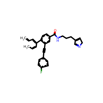 C=C/C=C(\C=C/C)c1ccc(C(=O)NCCCC2=CCN=C2)cc1C#Cc1ccc(F)cc1